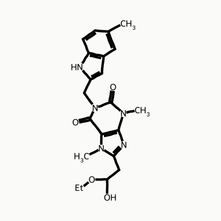 CCOC(O)Cc1nc2c(c(=O)n(Cc3cc4cc(C)ccc4[nH]3)c(=O)n2C)n1C